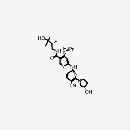 CC(C)Nc1cc(Nc2ccc(C#N)c(N3CC[C@H](O)C3)n2)ncc1C(=O)NC[C@@H](F)C(C)(C)O